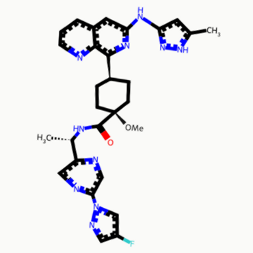 CO[C@]1(C(=O)N[C@@H](C)c2cnc(-n3cc(F)cn3)cn2)CC[C@H](c2nc(Nc3cc(C)[nH]n3)cc3cccnc32)CC1